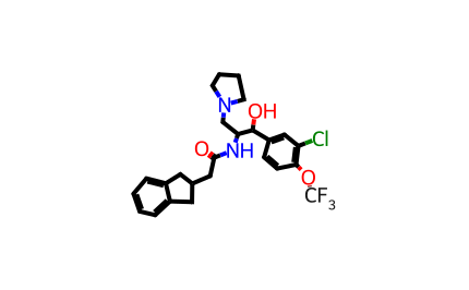 O=C(CC1Cc2ccccc2C1)NC(CN1CCCC1)C(O)c1ccc(OC(F)(F)F)c(Cl)c1